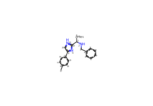 CCCCCCC(NCc1ccccc1)c1nc(-c2ccc(C)cc2)c[nH]1